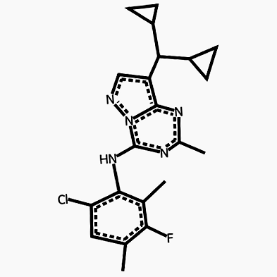 Cc1nc(Nc2c(Cl)cc(C)c(F)c2C)n2ncc(C(C3CC3)C3CC3)c2n1